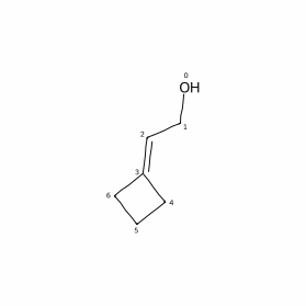 OCC=C1CCC1